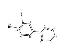 Fc1cc(-c2ncccn2)ccc1Br